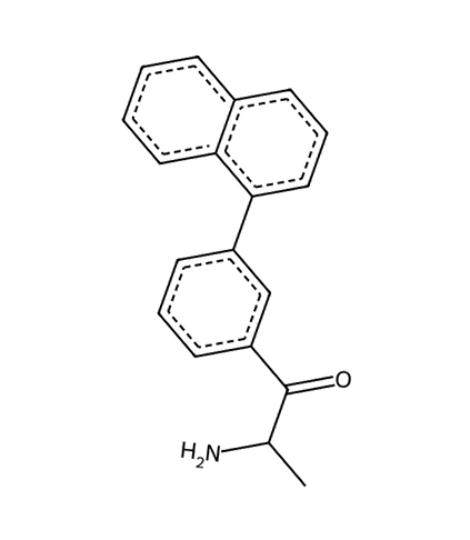 CC(N)C(=O)c1cccc(-c2cccc3ccccc23)c1